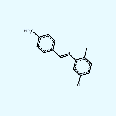 Cc1ccc(Cl)cc1N=Cc1ccc(C(=O)O)cc1